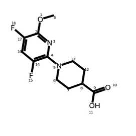 COc1nc(N2CCC(C(=O)O)CC2)c(F)cc1F